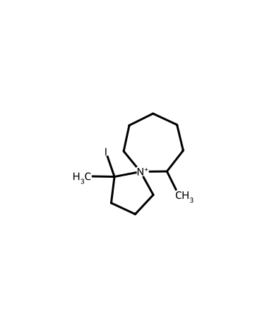 CC1CCCCC[N+]12CCCC2(C)I